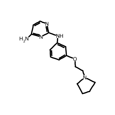 Nc1ccnc(Nc2cccc(OCCN3CCCC3)c2)n1